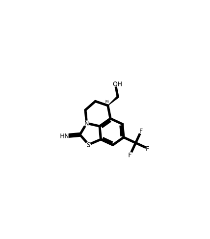 N=c1sc2cc(C(F)(F)F)cc3c2n1CC[C@H]3CO